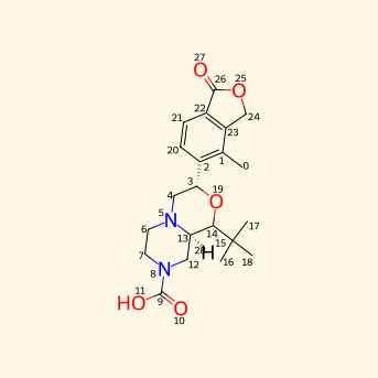 Cc1c([C@H]2CN3CCN(C(=O)O)C[C@@H]3C(C(C)(C)C)O2)ccc2c1COC2=O